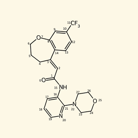 O=C(C=C1CCCOc2cc(C(F)(F)F)ccc21)Nc1cccnc1N1CCOCC1